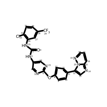 O=C(Nc1cnc(Oc2ccc(-c3cnc4cccnn34)cc2)nc1)Nc1cc(C(F)(F)F)ccc1Cl